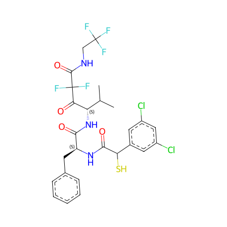 CC(C)[C@H](NC(=O)[C@H](Cc1ccccc1)NC(=O)C(S)c1cc(Cl)cc(Cl)c1)C(=O)C(F)(F)C(=O)NCC(F)(F)F